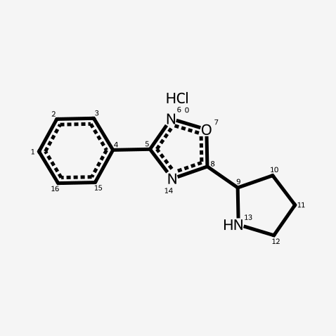 Cl.c1ccc(-c2noc(C3CCCN3)n2)cc1